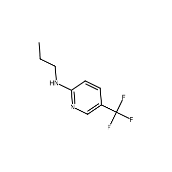 CCCNc1ccc(C(F)(F)F)cn1